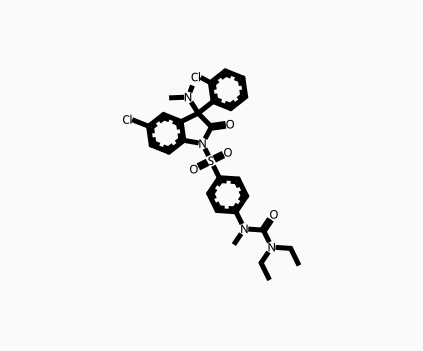 CCN(CC)C(=O)N(C)c1ccc(S(=O)(=O)N2C(=O)C(c3ccccc3Cl)(N(C)C)c3cc(Cl)ccc32)cc1